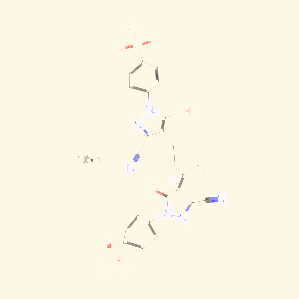 CC/C(CCc1c(C#N)nn(-c2ccc(S(=O)(=O)[O-])cc2)c1O)=C1/C(=O)N(c2ccc(S(=O)(=O)[O-])cc2)N=C1C#N.[Na+].[Na+]